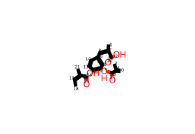 C=C(C)C(=O)O.CC(=Cc1ccccc1)C(=O)O.CC=C(C)C(=O)O